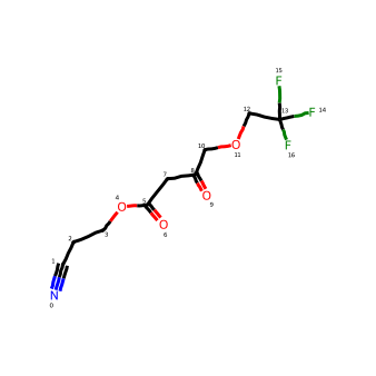 N#CCCOC(=O)CC(=O)COCC(F)(F)F